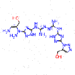 N/C=C(/CO)N(N)c1n[nH]c(N/C(N)=N/N=C(\N)Nc2nc(-n3nncc3CO)n[nH]2)n1